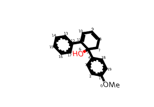 COc1ccc(C2(O)CC=CC=C2c2ccccc2)cc1